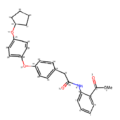 COC(=O)c1ccccc1NC(=O)Cc1ccc(Oc2ccc(OC3CCCC3)cc2)cc1